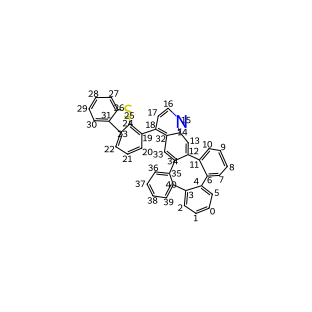 c1ccc2c(c1)-c1ccccc1-c1cc3nccc(-c4cccc5c4sc4ccccc45)c3cc1-c1ccccc1-2